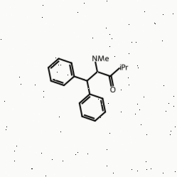 CNC(C(=O)C(C)C)C(c1ccccc1)c1ccccc1